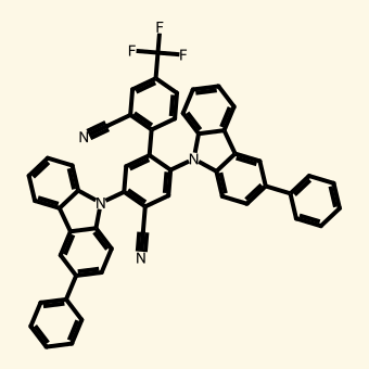 N#Cc1cc(C(F)(F)F)ccc1-c1cc(-n2c3ccccc3c3cc(-c4ccccc4)ccc32)c(C#N)cc1-n1c2ccccc2c2cc(-c3ccccc3)ccc21